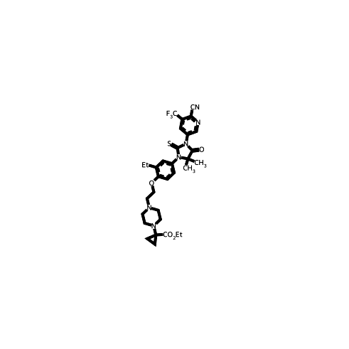 CCOC(=O)C1(N2CCN(CCOc3ccc(N4C(=S)N(c5cnc(C#N)c(C(F)(F)F)c5)C(=O)C4(C)C)cc3CC)CC2)CC1